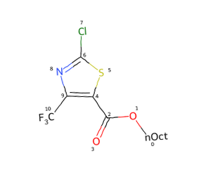 CCCCCCCCOC(=O)c1sc(Cl)nc1C(F)(F)F